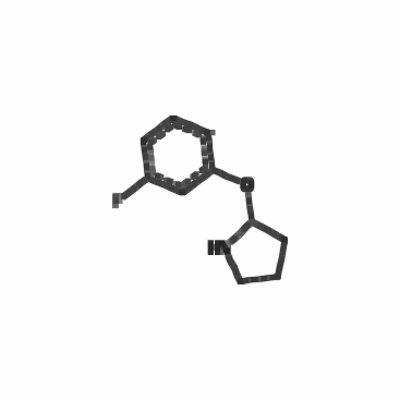 Fc1cc[c]c(OC2CCCN2)c1